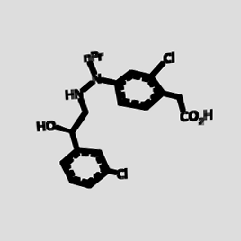 CCCN(NC[C@H](O)c1cccc(Cl)c1)c1ccc(CC(=O)O)c(Cl)c1